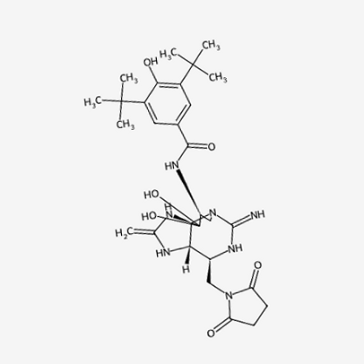 C=C1N[C@H]2[C@H](CN3C(=O)CCC3=O)NC(=N)N3C[C@H](NC(=O)c4cc(C(C)(C)C)c(O)c(C(C)(C)C)c4)C(O)(O)[C@]23N1